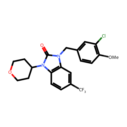 COc1ccc(Cn2c(=O)n(C3CCOCC3)c3ccc(C(F)(F)F)cc32)cc1Cl